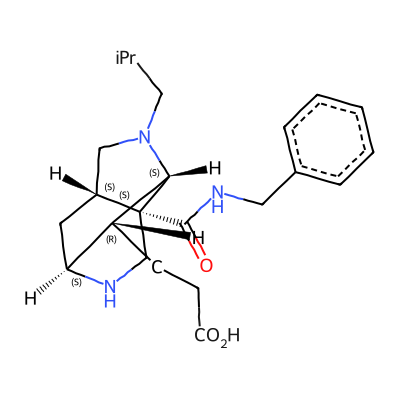 CC(C)CN1C[C@H]2C[C@@H]3NC[C@]2(C(=O)NCc2ccccc2)[C@@H]1[C@@H]3CCC(=O)O